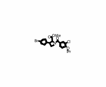 COC(=O)C1C(c2ccc(Br)cc2)CCN1C(=O)c1ccc(OC(C)C)c(Cl)c1